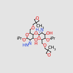 CC(C)OC1OC(COCC2(C)COC2)C(OC2OC(COCC3(C)COC3)C(OC(C)C)C(O)C2N)C(O)C1N=N